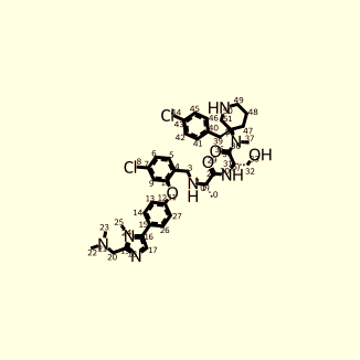 C[C@H](NCc1ccc(Cl)cc1Oc1ccc(-c2cnc(CN(C)C)n2C)cc1)C(=O)N[C@@H](CO)C(=O)N(C)[C@@]1(Cc2ccc(Cl)cc2)CCCNC1